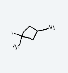 CC1(F)CC(N)C1